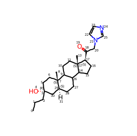 CCC[C@@]1(O)CC[C@]2(C)C3CC[C@@]4(C)C(CC[C@@H]4C(=O)Cn4ccnc4)C3CC[C@H]2C1